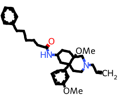 C=CCN1CCC2(c3cccc(OC)c3)CC(NC(=O)CCCCCc3ccccc3)CCC2(OC)C1